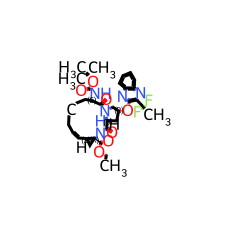 CCOC(=O)[C@@]12C[C@H]1C=CCCCCC[C@H](NC(=O)OC(C)(C)C)C(=O)N1C[C@H](Oc3nc4ccccc4nc3C(C)(F)F)C[C@H]1C(=O)N2